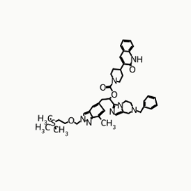 Cc1cc(CC(OC(=O)N2CCC(c3cc4ccccc4[nH]c3=O)CC2)c2ncc3n2CCN(Cc2ccccc2)C3)cc2cn(COCCS(C)(C)C)nc12